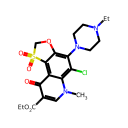 CCOC(=O)c1cn(C)c2c(Cl)c(N3CCN(CC)CC3)c3c(c2c1=O)S(=O)(=O)CO3